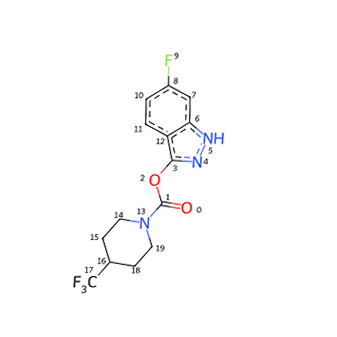 O=C(Oc1n[nH]c2cc(F)ccc12)N1CCC(C(F)(F)F)CC1